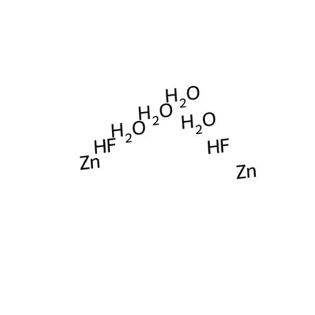 F.F.O.O.O.O.[Zn].[Zn]